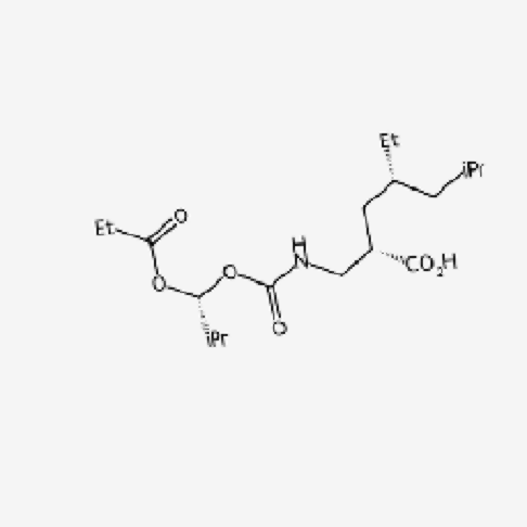 CCC(=O)O[C@H](OC(=O)NC[C@H](C[C@H](CC)CC(C)C)C(=O)O)C(C)C